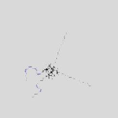 CCCCC/C=C\C/C=C\C/C=C\C/C=C\CCCC(=O)O[C@@H](CO)C(O)(C(=O)CCCCCCCCCCCCCCCCC)C(OC(=O)CCCCCCCCCCCCCCCCC)[C@H](CO)OC(=O)CCCCCCC/C=C\C/C=C\CCCCC